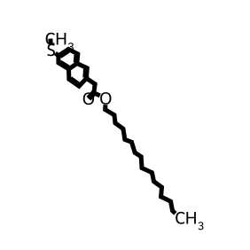 CCCCCCCCCCCCCCCCOC(=O)Cc1ccc2cc(SC)ccc2c1